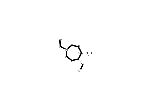 CCN1CC[C@@H](CO)[C@@H](O)CC1